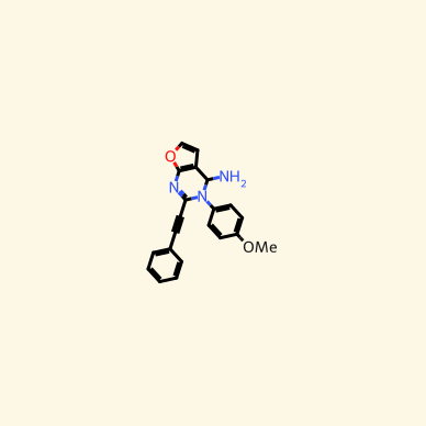 COc1ccc(N2C(C#Cc3ccccc3)=Nc3occc3C2N)cc1